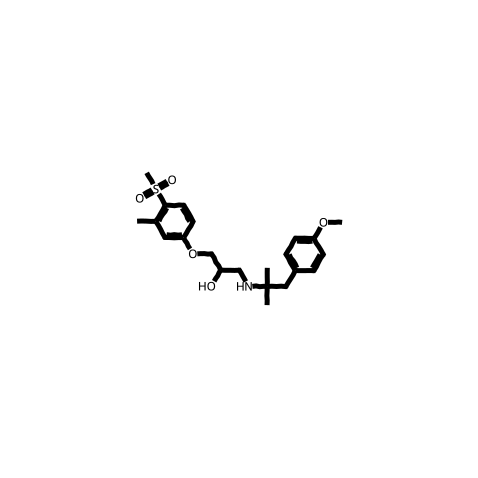 COc1ccc(CC(C)(C)NCC(O)COc2ccc(S(C)(=O)=O)c(C)c2)cc1